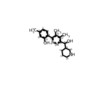 Cc1ccc(-c2nnc(C(O)C3CCCNC3)c(C)c2C)c(O)c1